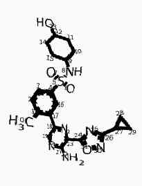 Cc1ccc(S(=O)(=O)NC2CCC(O)CC2)cc1-c1cnc(N)c(-c2nc(C3CC3)no2)n1